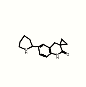 O=C1Nc2ccc(C3CCCCN3)cc2CC12CC2